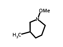 CON1CCCC(C)C1